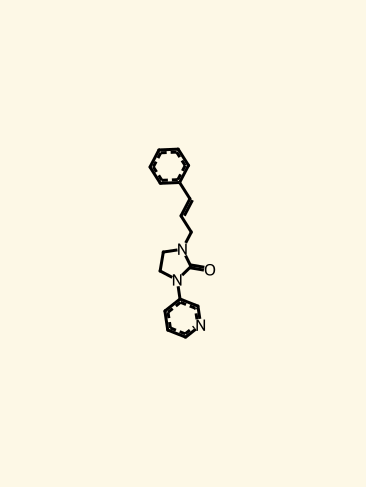 O=C1N(C/C=C/c2ccccc2)CCN1c1cccnc1